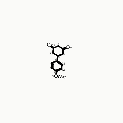 COc1ccc(C2CC(=O)CC(=O)C2)cc1